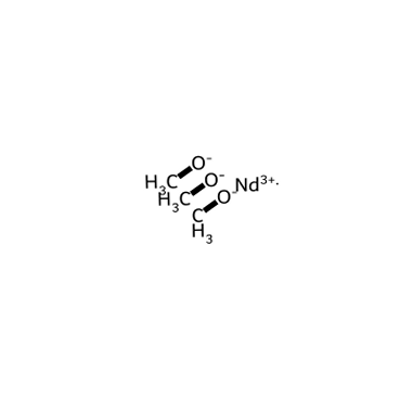 C[O-].C[O-].C[O-].[Nd+3]